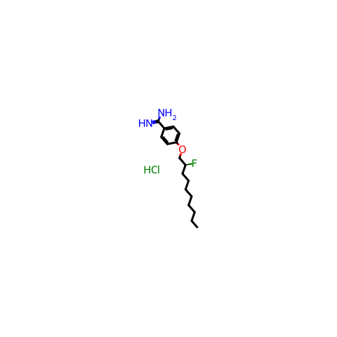 CCCCCCCC[C@H](F)COc1ccc(C(=N)N)cc1.Cl